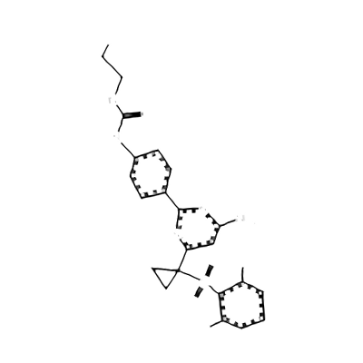 Nc1cc(C2(S(=O)(=O)c3c(F)cccc3F)CC2)nc(-c2ccc(NC(=O)NCCF)cc2)n1